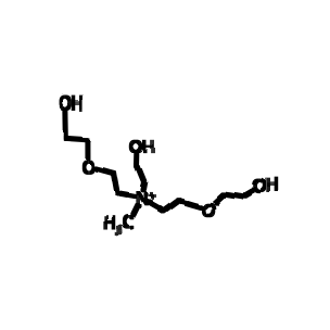 C[N+](CCO)(CCOCCO)CCOCCO